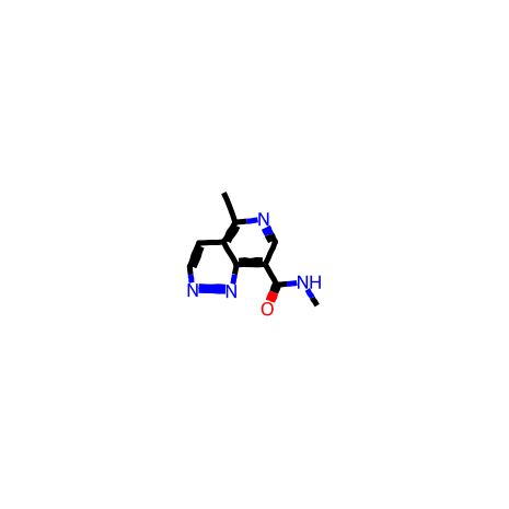 CNC(=O)c1cnc(C)c2ccnnc12